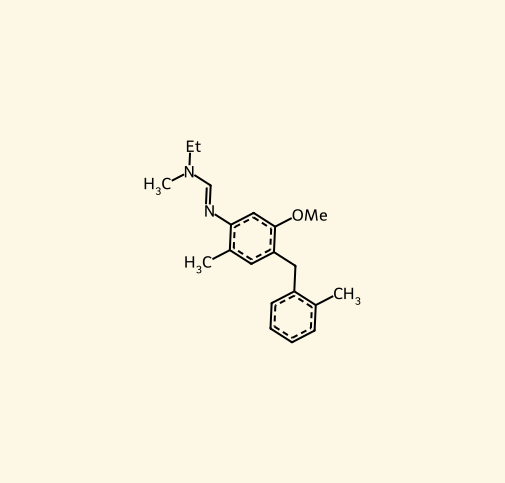 CCN(C)/C=N/c1cc(OC)c(Cc2ccccc2C)cc1C